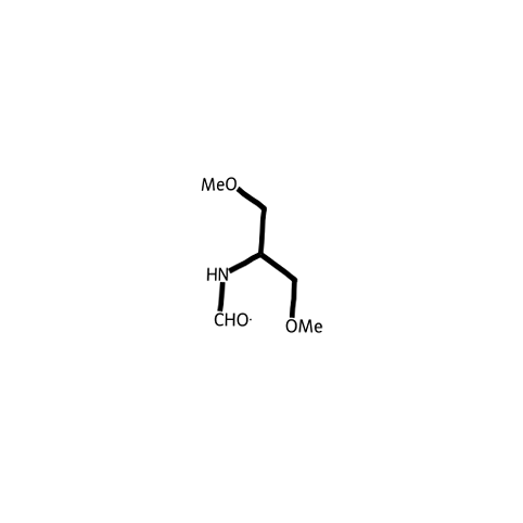 COCC(COC)N[C]=O